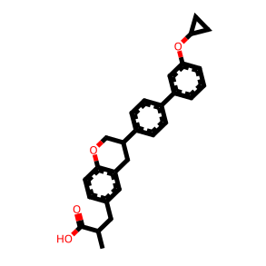 CC(Cc1ccc2c(c1)CC(c1ccc(-c3cccc(OC4CC4)c3)cc1)CO2)C(=O)O